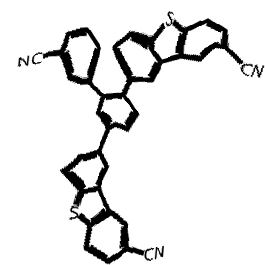 N#Cc1cccc(-c2cc(-c3ccc4sc5ccc(C#N)cc5c4c3)ccc2-c2ccc3sc4ccc(C#N)cc4c3c2)c1